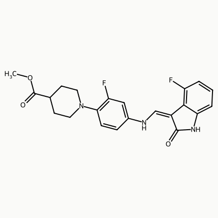 COC(=O)C1CCN(c2ccc(N/C=C3\C(=O)Nc4cccc(F)c43)cc2F)CC1